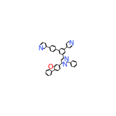 c1ccc(-c2nc(-c3cc(-c4ccncc4)cc(-c4ccc(-c5cccnc5)cc4)c3)cc(-c3ccc4c(c3)oc3ccccc34)n2)cc1